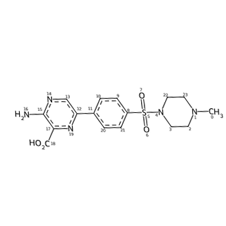 CN1CCN(S(=O)(=O)c2ccc(-c3cnc(N)c(C(=O)O)n3)cc2)CC1